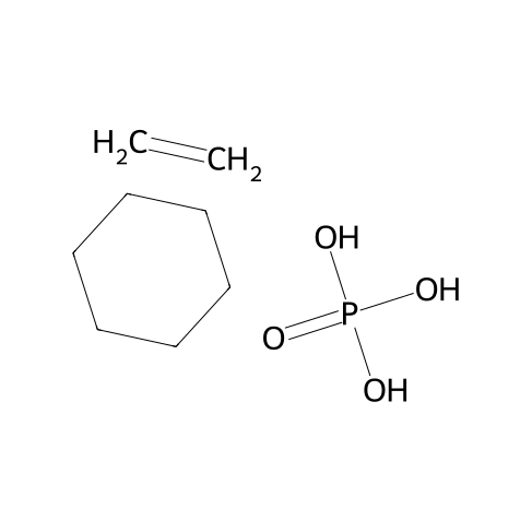 C1CCCCC1.C=C.O=P(O)(O)O